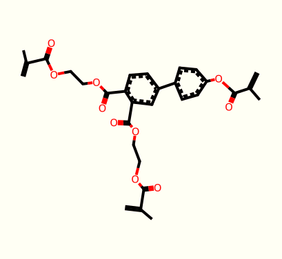 C=C(C)C(=O)OCCOC(=O)c1ccc(-c2ccc(OC(=O)C(=C)C)cc2)cc1C(=O)OCCOC(=O)C(=C)C